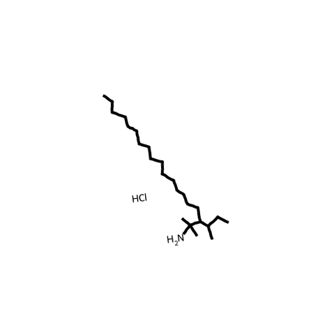 CCCCCCCCCCCCCCCCC(C(C)CC)C(C)(C)N.Cl